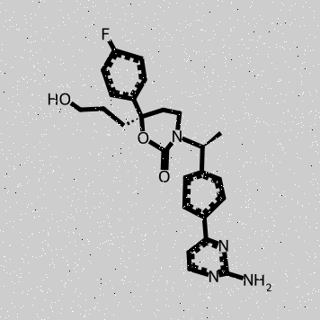 C[C@@H](c1ccc(-c2ccnc(N)n2)cc1)N1CC[C@](CCCO)(c2ccc(F)cc2)OC1=O